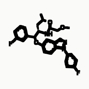 COCC(=O)N[C@@H](CC(C)C)C(Oc1ccc2c(cnn2-c2ccc(F)cc2)c1)c1cccc(F)c1